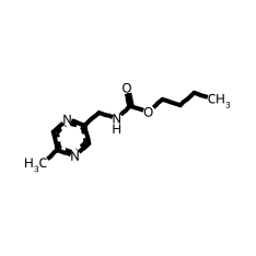 CCCCOC(=O)NCc1cnc(C)cn1